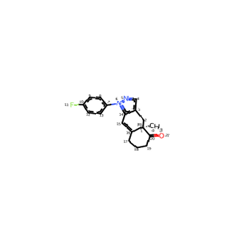 C[C@@]12Cc3cnn(-c4ccc(F)cc4)c3C=C1CCCC2=O